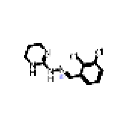 Clc1cccc(/C=N/NC2=NCCCN2)c1Cl